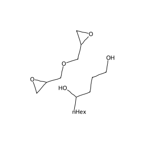 C(OCC1CO1)C1CO1.CCCCCCC(O)CCCO